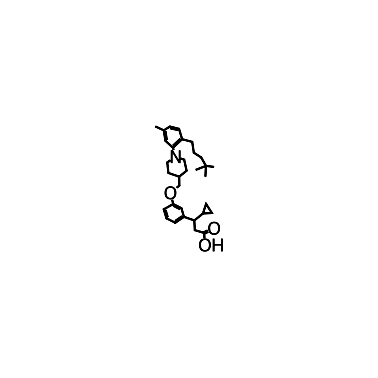 Cc1ccc(CCCC(C)(C)C)c(N2CCC(COc3cccc(C(CC(=O)O)C4CC4)c3)CC2)c1